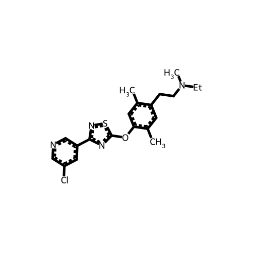 CCN(C)CCc1cc(C)c(Oc2nc(-c3cncc(Cl)c3)ns2)cc1C